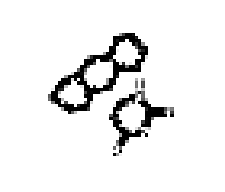 O=c1cc[nH]c(=O)[nH]1.c1ccc2cc3ccccc3cc2c1